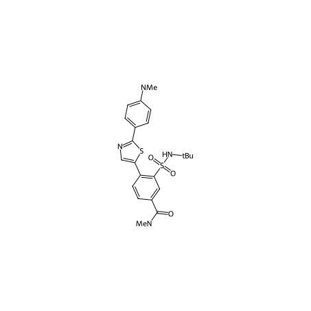 CNC(=O)c1ccc(-c2cnc(-c3ccc(NC)cc3)s2)c(S(=O)(=O)NC(C)(C)C)c1